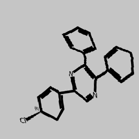 Cl[C@H]1C=CC(c2cnc(C3=CCCC=C3)c(-c3ccccc3)n2)=CC1